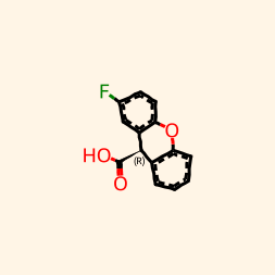 O=C(O)[C@@H]1c2ccccc2Oc2ccc(F)cc21